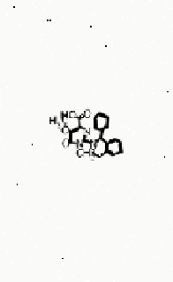 COc1c(C(=O)O)nc(N2CCc3ccccc3C2c2ccccc2)n(C)c1=O